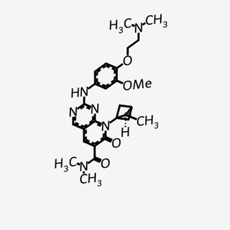 COc1cc(Nc2ncc3cc(C(=O)N(C)C)c(=O)n(C45CC(C4)[C@H]5C)c3n2)ccc1OCCN(C)C